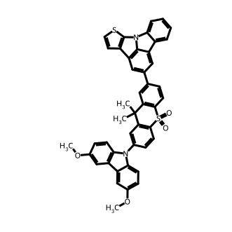 COc1ccc2c(c1)c1cc(OC)ccc1n2-c1ccc2c(c1)C(C)(C)c1cc(-c3cc4c5ccccc5n5c6sccc6c(c3)c45)ccc1S2(=O)=O